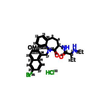 CCN[C@@H](CC)C(=O)N[C@H]1CCc2ccccc2N(Cc2c(OC)ccc3cc(Br)ccc23)C1=O.Cl